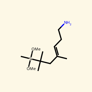 CO[Si](C)(OC)C(C)(C)CC(C)=CCCN